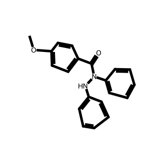 COc1ccc(C(=O)N(Nc2ccccc2)c2ccccc2)cc1